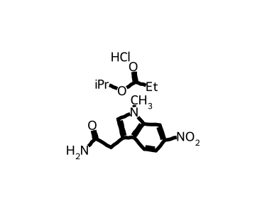 CCC(=O)OC(C)C.Cl.Cn1cc(CC(N)=O)c2ccc([N+](=O)[O-])cc21